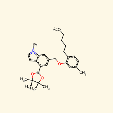 CC(=O)OCCCCc1ccc(C)cc1OCc1cc(B2OC(C)(C)C(C)(C)O2)c2ccn(C(C)C)c2c1